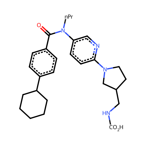 CCCN(C(=O)c1ccc(C2CCCCC2)cc1)c1ccc(N2CCC(CNC(=O)O)C2)nc1